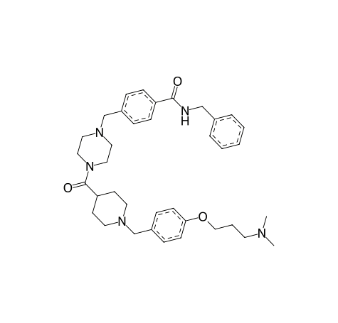 CN(C)CCCOc1ccc(CN2CCC(C(=O)N3CCN(Cc4ccc(C(=O)NCc5ccccc5)cc4)CC3)CC2)cc1